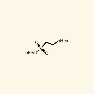 CCCCCCCCS(=O)(=O)CCCCC